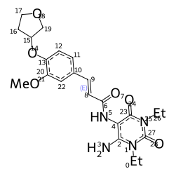 CCn1c(N)c(NC(=O)/C=C/c2ccc(OC3CCOC3)c(OC)c2)c(=O)n(CC)c1=O